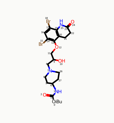 CC(C)COC(=O)NC1CCN(CC(O)COc2c(Br)cc(Br)c3c2CCC(=O)N3)CC1